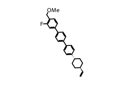 C=C[C@H]1CC[C@H](c2ccc(-c3ccc(-c4ccc(COC)c(F)c4)cc3)cc2)CC1